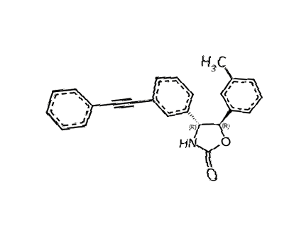 Cc1cccc([C@H]2OC(=O)N[C@@H]2c2cccc(C#Cc3ccccc3)c2)c1